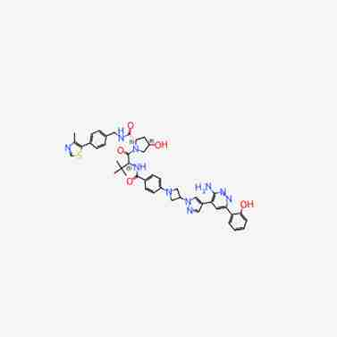 Cc1ncsc1-c1ccc(CNC(=O)[C@@H]2C[C@@H](O)CN2C(=O)[C@@H](NC(=O)c2ccc(N3CC(n4cc(-c5cc(-c6ccccc6O)nnc5N)cn4)C3)cc2)C(C)(C)C)cc1